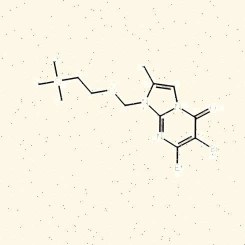 CCc1nc2n(COCC[Si](C)(C)C)c(C)cn2c(=O)c1Br